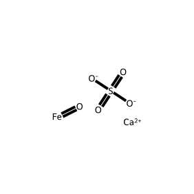 O=S(=O)([O-])[O-].[Ca+2].[O]=[Fe]